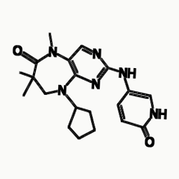 CN1C(=O)C(C)(C)CN(C2CCCC2)c2nc(Nc3ccc(=O)[nH]c3)ncc21